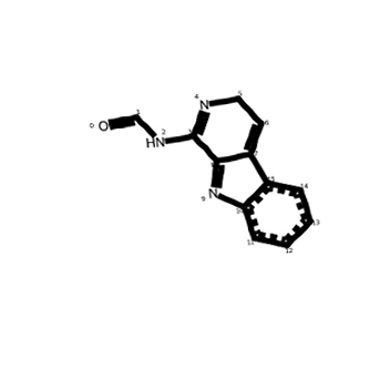 O=CNC1=NCC=C2C1=Nc1ccccc12